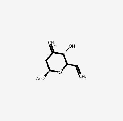 C=C[C@H]1O[C@@H](OC(C)=O)CC(=C)[C@@H]1O